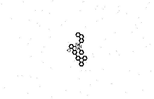 COc1cccc(-c2nc(-c3ccccc3)nc(-c3ccc4ccc5ccccc5c4c3)n2)c1-c1ccc(-c2ccc3c4ccccc4c4ccccc4c3c2)cc1